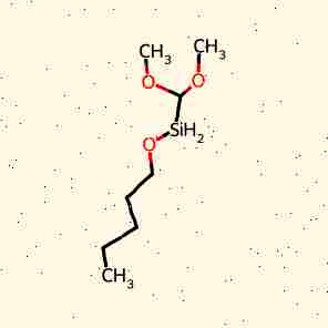 CCCCCO[SiH2]C(OC)OC